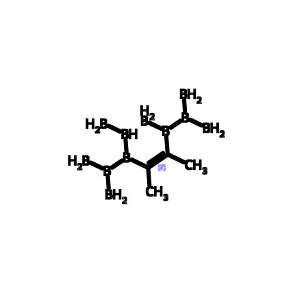 BBB(B(B)B)/C(C)=C(/C)B(B)B(B)B